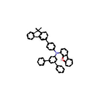 CC1(C)c2ccccc2-c2cc(-c3ccc(N(c4cc(-c5ccccc5)cc(-c5ccccc5)c4)c4cccc5c4oc4ccccc45)cc3)ccc21